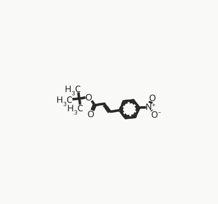 CC(C)(C)OC(=O)C=Cc1ccc([N+](=O)[O-])cc1